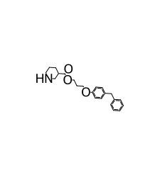 O=C(OCCCOc1ccc(Cc2ccccc2)cc1)C1CCCNC1